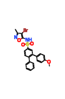 COc1ccc(-c2cc(S(=O)(=O)Nc3onc(C)c3Br)ccc2-c2ccccc2)cc1